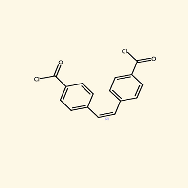 O=C(Cl)c1ccc(/C=C\c2ccc(C(=O)Cl)cc2)cc1